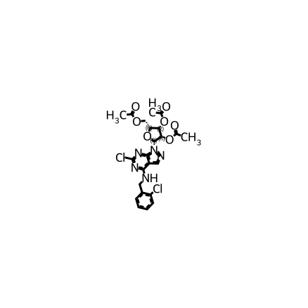 CC(=O)OC[C@H]1O[C@@H](n2ncc3c(NCc4ccccc4Cl)nc(Cl)nc32)[C@H](OC(C)=O)[C@@H]1OC(C)=O